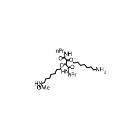 CCCNC(=O)[C@H](OCCCCCCCN)[C@@H](OCCCCCCCNOC)C(=O)NCCC